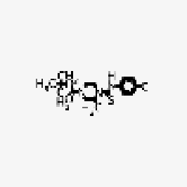 CC1CN(C(=O)OC(C)(C)C)CCN1C(=S)Nc1ccc(Cl)cc1